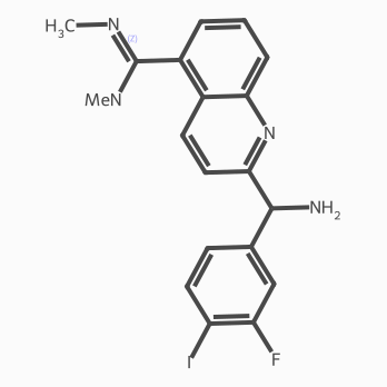 C/N=C(\NC)c1cccc2nc(C(N)c3ccc(I)c(F)c3)ccc12